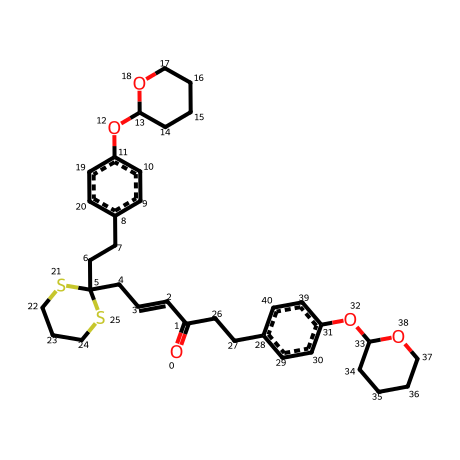 O=C(/C=C/CC1(CCc2ccc(OC3CCCCO3)cc2)SCCCS1)CCc1ccc(OC2CCCCO2)cc1